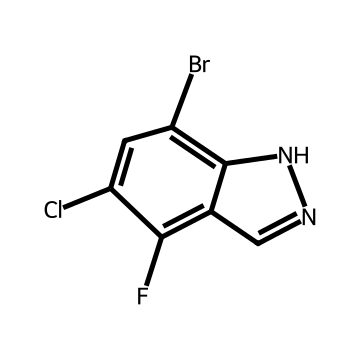 Fc1c(Cl)cc(Br)c2[nH]ncc12